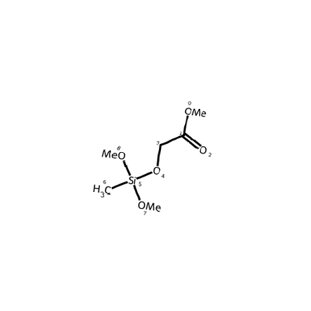 COC(=O)CO[Si](C)(OC)OC